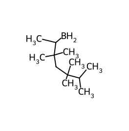 BC(C)C(C)(C)CC(C)(C)C(C)C